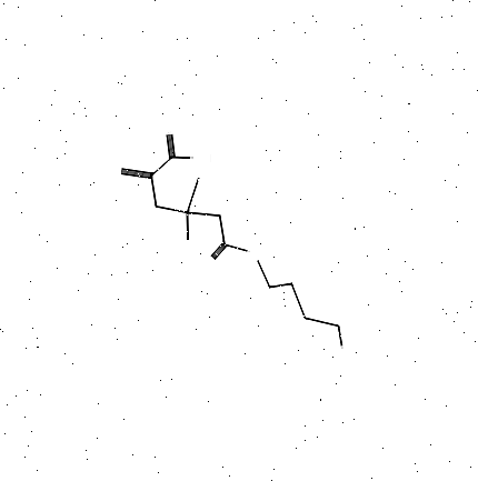 C=C(CC(C)(C)CC(=O)OCCCCO)C(=O)O